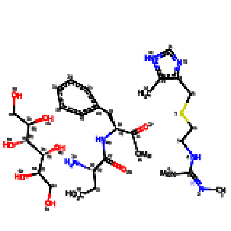 CN/C(=N/C#N)NCCSCc1nc[nH]c1C.COC(=O)[C@H](Cc1ccccc1)NC(=O)[C@@H](N)CC(=O)O.OC[C@@H](O)[C@@H](O)[C@H](O)[C@H](O)CO